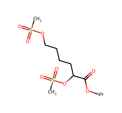 CC(C)OC(=O)C(CCCCOS(C)(=O)=O)OS(C)(=O)=O